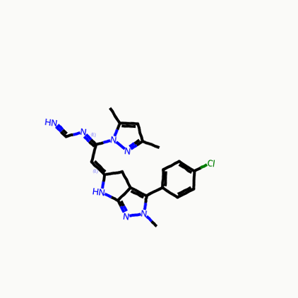 Cc1cc(C)n(C(/C=C2\Cc3c(nn(C)c3-c3ccc(Cl)cc3)N2)=N/C=N)n1